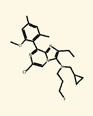 CCc1nc2c(-c3c(C)cc(C)cc3OC)nc(Cl)cn2c1N(CCCF)CC1CC1